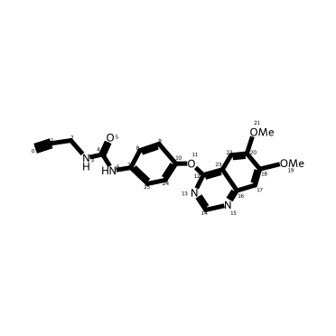 C#CCNC(=O)Nc1ccc(Oc2ncnc3cc(OC)c(OC)cc23)cc1